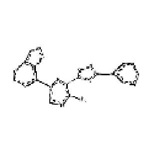 Nc1ncc(-c2cccc3ccsc23)nc1-c1nnc(-c2ccccc2)o1